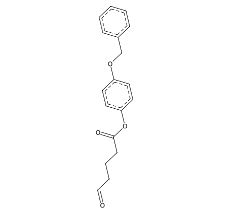 O=CCCCC(=O)Oc1ccc(OCc2ccccc2)cc1